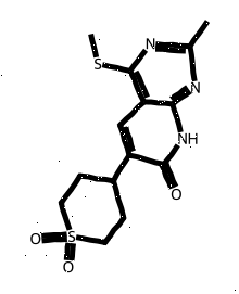 CSc1nc(C)nc2[nH]c(=O)c(C3CCS(=O)(=O)CC3)cc12